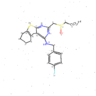 O=C(O)C[S+]([O-])Cc1nc(NCc2ccc(F)cc2)c2c3c(sc2n1)CCCC3